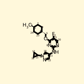 C[C@H]1CC[C@H](COc2nc(Nc3cnn(C4CC4)c3)ncc2F)CC1